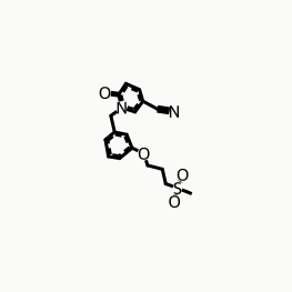 CS(=O)(=O)CCCOc1cccc(Cn2cc(C#N)ccc2=O)c1